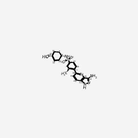 Cc1cc(S(=O)(=O)N[C@H]2CC[C@@H](O)CC2)ccc1-c1ccc2[nH]nc(N)c2n1